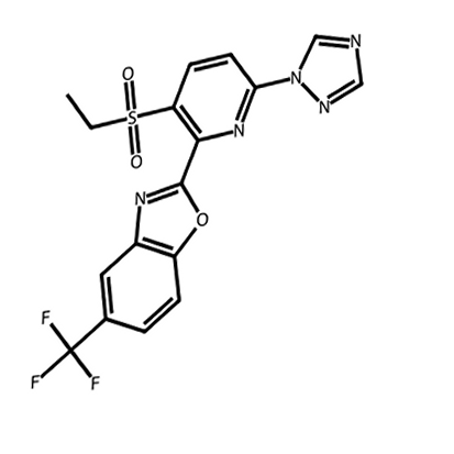 CCS(=O)(=O)c1ccc(-n2cncn2)nc1-c1nc2cc(C(F)(F)F)ccc2o1